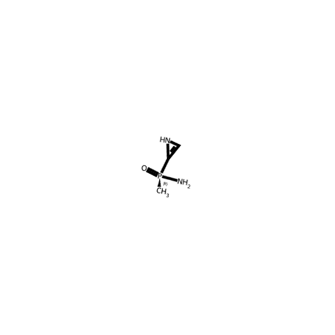 C[P@@](N)(=O)C1=CN1